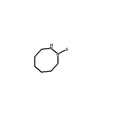 [S]N1CCCCCCN1